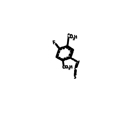 O=C(O)c1cc(N=C=S)c(C(=O)O)cc1F